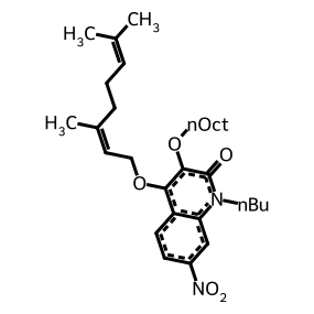 CCCCCCCCOc1c(OCC=C(C)CCC=C(C)C)c2ccc([N+](=O)[O-])cc2n(CCCC)c1=O